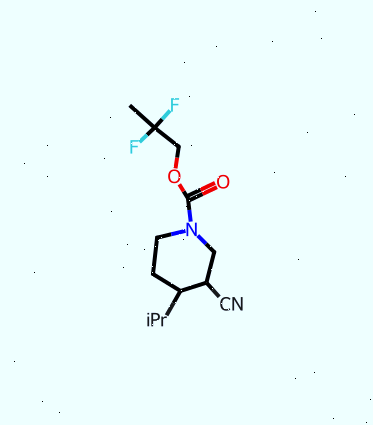 CC(C)C1CCN(C(=O)OCC(C)(F)F)CC1C#N